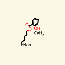 CCCCCCCCCCCCCCOC(=O)c1ccccc1O.[CaH2]